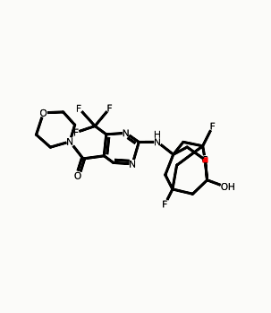 O=C(c1cnc(NC23CCC4(O)CC(F)(CC(F)(C4)C2)C3)nc1C(F)(F)F)N1CCOCC1